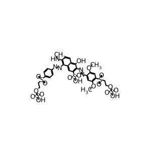 CNc1ccc2c(O)c(/N=N/c3cc(OC)c(S(=O)(=O)CCOS(=O)(=O)O)cc3OC)c(S(=O)(=O)O)cc2c1/N=N/c1ccc(S(=O)(=O)CCOS(=O)(=O)O)cc1